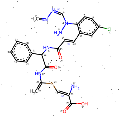 C=N/N=C\N(N)c1ccc(Cl)cc1/C=C/C(=O)NC(C(=O)NC(=C)S/C=C(\N)C(=O)O)c1ccccc1